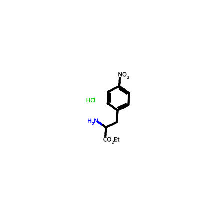 CCOC(=O)C(N)Cc1ccc([N+](=O)[O-])cc1.Cl